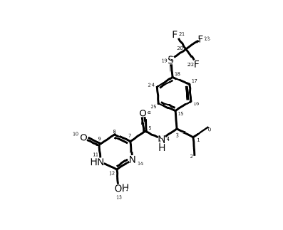 CC(C)C(NC(=O)c1cc(=O)[nH]c(O)n1)c1ccc(SC(F)(F)F)cc1